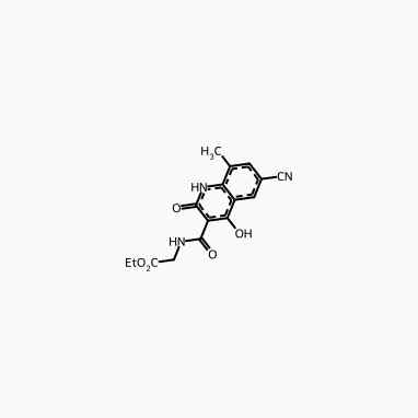 CCOC(=O)CNC(=O)c1c(O)c2cc(C#N)cc(C)c2[nH]c1=O